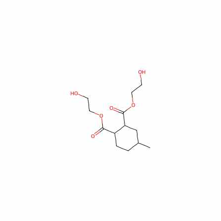 CC1CCC(C(=O)OCCO)C(C(=O)OCCO)C1